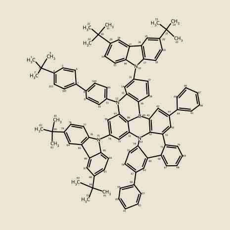 CC(C)(C)c1ccc(-c2ccc(N3c4cc(-n5c6ccc(C(C)(C)C)cc6c6cc(C(C)(C)C)ccc65)ccc4B4c5cc(-c6ccccc6)cc6c5N(c5ccc(-c7ccccc7)cc5-c5ccccc5-6)c5cc(-n6c7ccc(C(C)(C)C)cc7c7cc(C(C)(C)C)ccc76)cc3c54)cc2)cc1